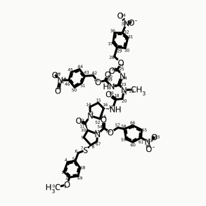 COc1ccc(CS[C@H]2C[C@@H](C(=O)N3CC[C@H](NC(=O)CN(C)/C(=N/C(=O)OCc4ccc([N+](=O)[O-])cc4)NC(=O)OCc4ccc([N+](=O)[O-])cc4)C3)N(C(=O)OCc3ccc([N+](=O)[O-])cc3)C2)cc1